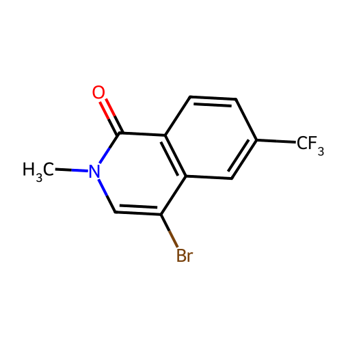 Cn1cc(Br)c2cc(C(F)(F)F)ccc2c1=O